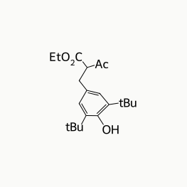 CCOC(=O)C(Cc1cc(C(C)(C)C)c(O)c(C(C)(C)C)c1)C(C)=O